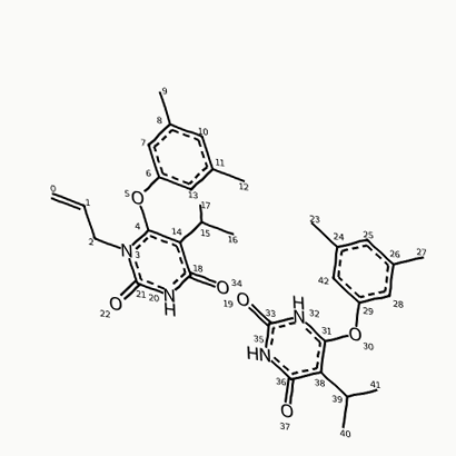 C=CCn1c(Oc2cc(C)cc(C)c2)c(C(C)C)c(=O)[nH]c1=O.Cc1cc(C)cc(Oc2[nH]c(=O)[nH]c(=O)c2C(C)C)c1